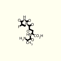 CC(N)C(=O)NC(CC(=O)C(=O)n1cc(F)c(=O)[nH]c1=O)C(=O)O